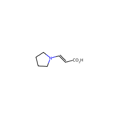 O=C(O)/C=C/N1CCCC1